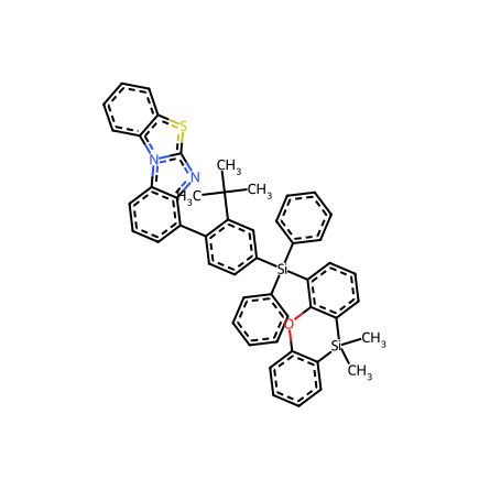 CC(C)(C)c1cc([Si](c2ccccc2)(c2ccccc2)c2cccc3c2Oc2ccccc2[Si]3(C)C)ccc1-c1cccc2c1nc1sc3ccccc3n12